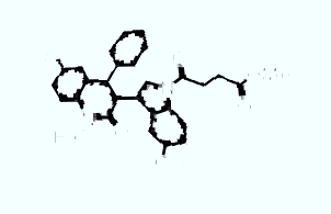 COC(=O)CCC(=O)n1cc(-c2c(-c3ccccc3)c3cc(Cl)ccc3n(C)c2=O)c2cc(C)ccc21